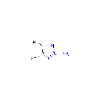 N#Cc1nn(N)nc1C#N